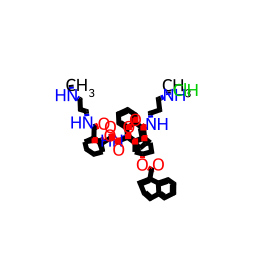 CNCCCNC(=O)C1C2CCC(C(OC(=O)c3cccc4ccccc34)C2)C1C(=O)NC(=O)C1C2CCC(CC2OC(=O)c2cccc3ccccc23)C1C(=O)NCCCNC.Cl